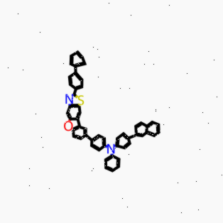 c1ccc(-c2ccc(-c3nc4cc5oc6ccc(-c7ccc(N(c8ccccc8)c8ccc(-c9ccc%10ccccc%10c9)cc8)cc7)cc6c5cc4s3)cc2)cc1